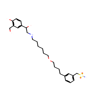 NS(=O)(=O)Cc1cccc(CCCCOCCCCCCNCC(O)c2ccc(O)c(CO)c2)c1